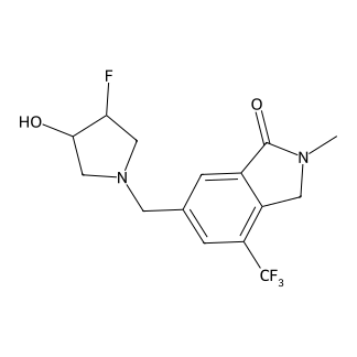 CN1Cc2c(cc(CN3CC(O)C(F)C3)cc2C(F)(F)F)C1=O